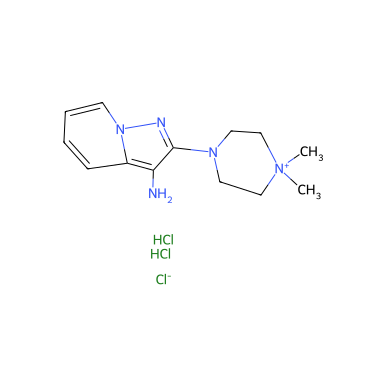 C[N+]1(C)CCN(c2nn3ccccc3c2N)CC1.Cl.Cl.[Cl-]